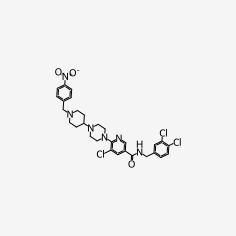 O=C(NCc1ccc(Cl)c(Cl)c1)c1cnc(N2CCN(C3CCN(Cc4ccc([N+](=O)[O-])cc4)CC3)CC2)c(Cl)c1